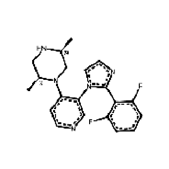 C[C@H]1CN(c2ccncc2-n2ccnc2-c2c(F)cccc2F)[C@@H](C)CN1